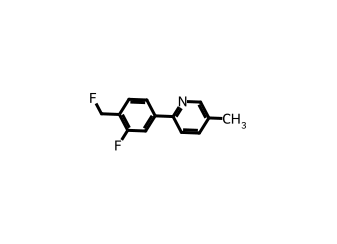 Cc1ccc(-c2ccc(CF)c(F)c2)nc1